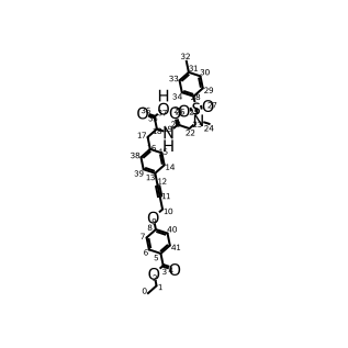 CCOC(=O)c1ccc(OCC#Cc2ccc(CC(NC(=O)CN(C)S(=O)(=O)c3ccc(C)cc3)C(=O)O)cc2)cc1